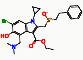 CCOC(=O)c1c(C[S+]([O-])CCc2ccccc2)n(C2CC2)c2cc(Br)c(O)c(CN(C)C)c12